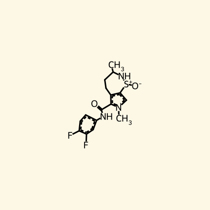 CC1CCc2c(cn(C)c2C(=O)Nc2ccc(F)c(F)c2)[S+]([O-])N1